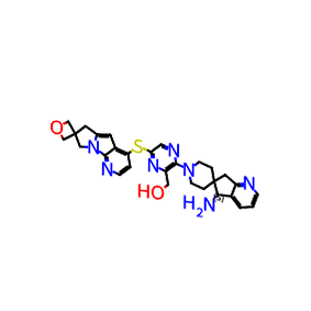 N[C@@H]1c2cccnc2CC12CCN(c1ncc(Sc3ccnc4c3cc3n4CC4(COC4)C3)nc1CO)CC2